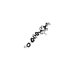 CC[C@H]1CC[C@H](c2ccc(-c3cnc(-c4ccc(C[C@H](N)C(=O)N[C@H](C)C(=O)OC(C)(C)C)cc4)nc3)cc2)CC1